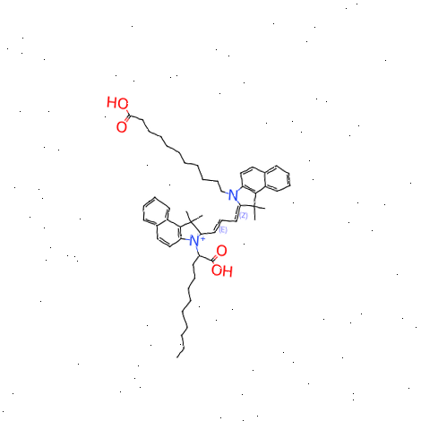 CCCCCCCCCC(C(=O)O)[N+]1=C(/C=C/C=C2\N(CCCCCCCCCCC(=O)O)c3ccc4ccccc4c3C2(C)C)C(C)(C)c2c1ccc1ccccc21